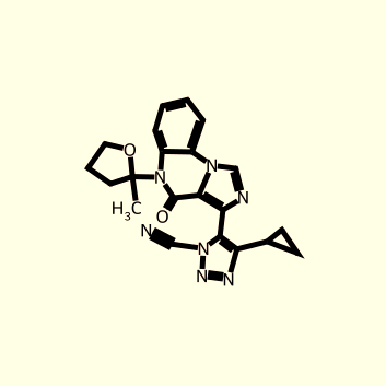 CC1(n2c(=O)c3c(-c4c(C5CC5)nnn4C#N)ncn3c3ccccc32)CCCO1